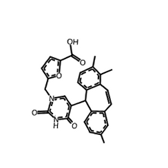 Cc1ccc2c(c1)C=Cc1c(ccc(C)c1C)C2c1cn(Cc2ccc(C(=O)O)o2)c(=O)[nH]c1=O